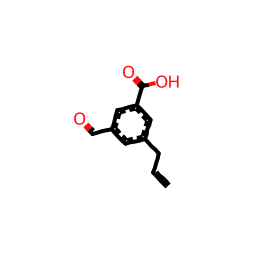 C=CCc1cc(C=O)cc(C(=O)O)c1